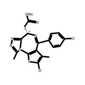 COC(=O)C[C@@H]1N=C(c2ccc(Cl)cc2)c2c(sc(Cl)c2C)-n2c(C)nnc21